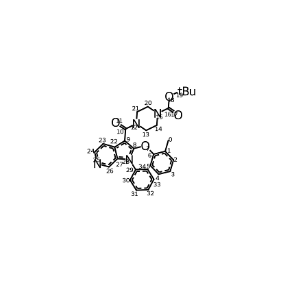 Cc1ccccc1Oc1c(C(=O)N2CCN(C(=O)OC(C)(C)C)CC2)c2ccncc2n1-c1ccccc1